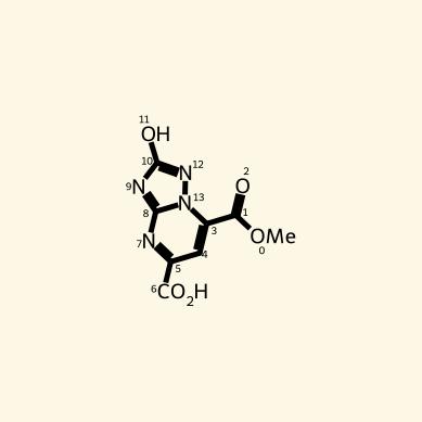 COC(=O)c1cc(C(=O)O)nc2nc(O)nn12